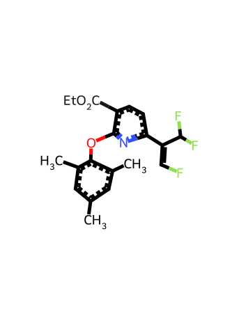 CCOC(=O)c1ccc(C(=CF)C(F)F)nc1Oc1c(C)cc(C)cc1C